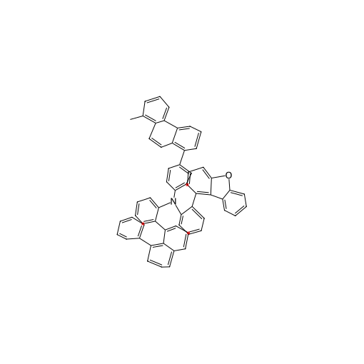 Cc1cccc2c1ccc1c(-c3ccc(N(c4ccccc4-c4cccc5cccc(-c6ccccc6)c45)c4ccccc4-c4cccc5oc6ccccc6c45)cc3)cccc12